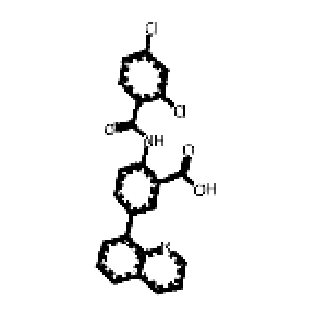 O=C(Nc1ccc(-c2cccc3cccnc23)cc1C(=O)O)c1ccc(Cl)cc1Cl